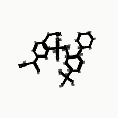 O=C(O)c1ccc(CO)c(S(=O)(=O)Nc2cc(C(F)(F)F)ccc2N2CCCCC2)c1